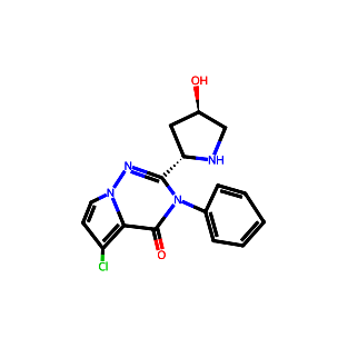 O=c1c2c(Cl)ccn2nc([C@@H]2C[C@@H](O)CN2)n1-c1ccccc1